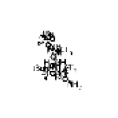 CC(C)(C)C(=O)NC(CCC1CC1)(c1cccnc1)c1ccc(F)c(NC(=O)c2cc(C(F)(F)F)nn2-c2cccc(C(N)c3ccc(C(CCC4CC4)(N[S+]([O-])C(C)(C)C)c4ccc(F)c(NC(=O)c5cc(C(F)(F)F)nn5-c5cccc(CN)c5)c4)cn3)c2)c1